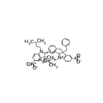 CC(C)CCN1/C(=C/C=C/C2=[N+](CCC(C)C)c3ccc([N+](=O)[O-])cc3C2(Cc2ccccc2)Cc2ccccc2)C(C)(C)c2cc([N+](=O)[O-])ccc21